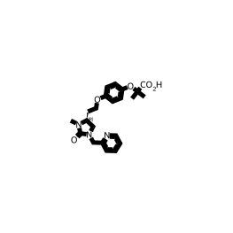 CN1C(=O)N(Cc2ccccn2)C[C@H]1CCOc1ccc(OC(C)(C)C(=O)O)cc1